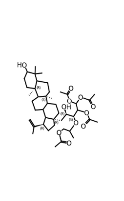 C=C(C)[C@@H]1CC[C@]2(C[C@@H](O)[C@H](OC(C)COC(C)=O)C(OC(C)=O)C(OC(C)=O)OC(C)=O)CCC3C(CCC4[C@@]3(C)CCC3C(C)(C)C(O)CC[C@@]34C)C12